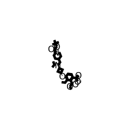 CCc1c(O[C@H]2C[C@H](N(CC3CCN(C(=O)OC(C)(C)C)CC3)C(C)C)C2)ccc(C(=O)OC)c1C(=O)OC